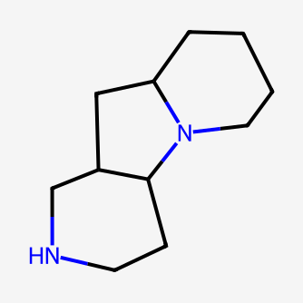 C1CCN2C(C1)CC1CNCCC12